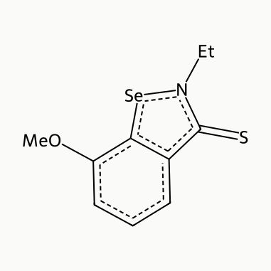 CCn1[se]c2c(OC)cccc2c1=S